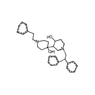 OC1CCN(CC(c2ccccc2)c2ccccc2)CC1C1(O)CCN(CCc2ccccc2)CC1